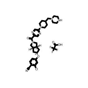 N#Cc1ccc(O[C@@H]2C[C@@H]3CN(C(=O)c4cnc(N5CCC(CN6CCNCC6)CC5)cn4)C[C@@H]3C2)cc1Cl.O=C(O)C(F)(F)F